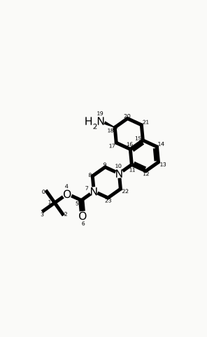 CC(C)(C)OC(=O)N1CCN(c2cccc3c2C[C@@H](N)CC3)CC1